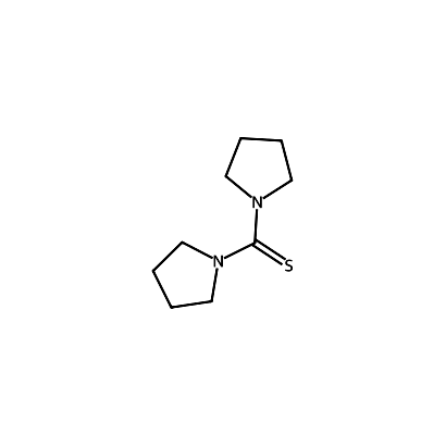 S=C(N1CCCC1)N1CCCC1